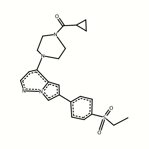 CCS(=O)(=O)c1ccc(-c2cc3c(N4CCN(C(=O)C5CC5)CC4)ccnn3c2)cc1